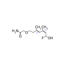 CC(=C/C(O)F)/C=C(\C)CCOCC(N)=O